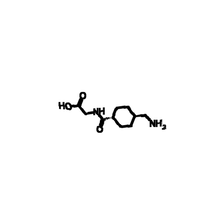 NC[C@H]1CC[C@H](C(=O)NCC(=O)O)CC1